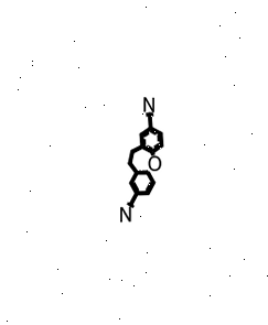 N#CC1=CC2CCc3cc(C#N)ccc3OC2C=C1